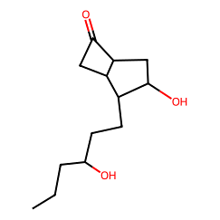 CCCC(O)CCC1C(O)CC2C(=O)CC21